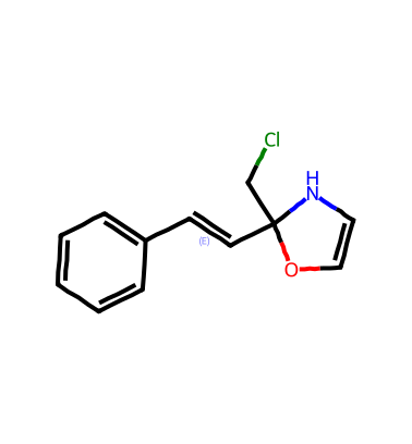 ClCC1(/C=C/c2ccccc2)NC=CO1